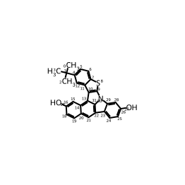 CC(C)(C)c1ccc2sc3c(c2c1)c1c2cc(O)ccc2cc2c4ccc(O)cc4n3c21